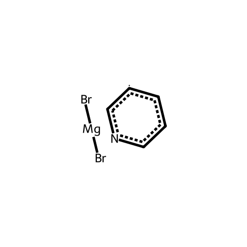 [Br][Mg][Br].[c]1cccnc1